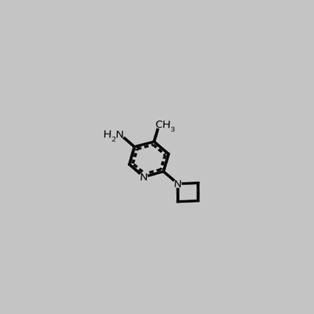 Cc1cc(N2CCC2)ncc1N